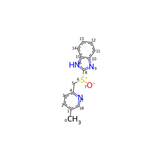 Cc1ccc(C[S+]([O-])c2nc3ccccc3[nH]2)nc1